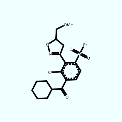 CCS(=O)(=O)c1ccc(C(=O)C2CCCCC2)c(Cl)c1C1=NOC(COC)C1